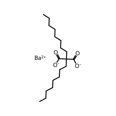 CCCCCCCCC(CCCCCCCC)(C(=O)[O-])C(=O)[O-].[Ba+2]